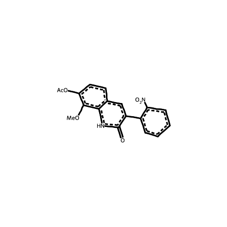 COc1c(OC(C)=O)ccc2cc(-c3ccccc3[N+](=O)[O-])c(=O)[nH]c12